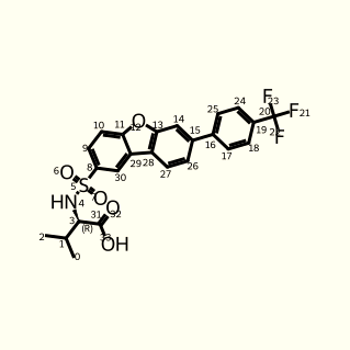 CC(C)[C@@H](NS(=O)(=O)c1ccc2oc3cc(-c4ccc(C(F)(F)F)cc4)ccc3c2c1)C(=O)O